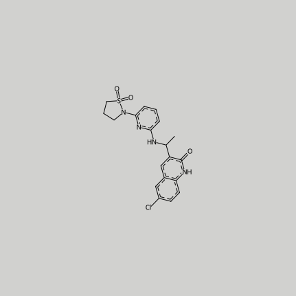 CC(Nc1cccc(N2CCCS2(=O)=O)n1)c1cc2cc(Cl)ccc2[nH]c1=O